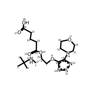 CC(C)(C)NC[C@@H](COc1nsnc1N1CCOCC1)OC(=O)CCCC(=O)O